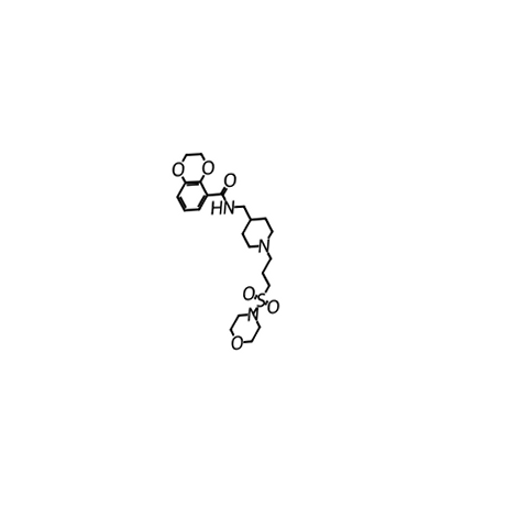 O=C(NCC1CCN(CCCS(=O)(=O)N2CCOCC2)CC1)c1cccc2c1OCCO2